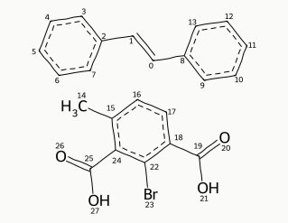 C(=Cc1ccccc1)c1ccccc1.Cc1ccc(C(=O)O)c(Br)c1C(=O)O